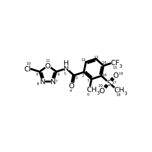 Cc1c(C(=O)Nc2nnc(Cl)o2)ccc(C(F)(F)F)c1S(C)(=O)=O